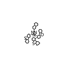 c1ccc2cc(-c3nc(-c4ccc5sc6ccccc6c5c4)nc(-c4c(-c5cccc6sc7ccccc7c56)ccc5oc6ccccc6c45)n3)ccc2c1